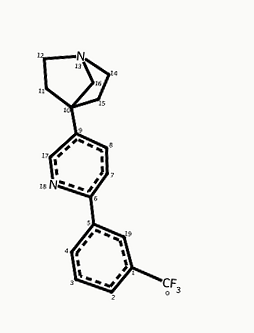 FC(F)(F)c1cccc(-c2ccc(C34CCN(CC3)C4)cn2)c1